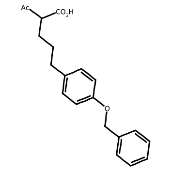 CC(=O)C(CCCc1ccc(OCc2ccccc2)cc1)C(=O)O